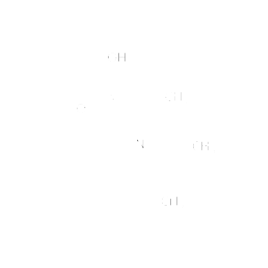 CC(C)N(c1ccccc1)C(C)C(=O)O